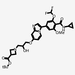 COc1cc(-c2cnc3cc(OCC(O)CN4CC(C(=O)OC(C)(C)C)C4)ccn23)cc(OC(F)F)c1C(=O)NC1CC1